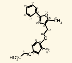 CCc1cc(OCC(=O)O)ccc1OCCc1nc(-c2ccccc2)oc1C